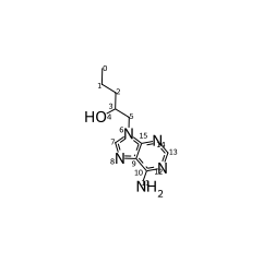 CCCC(O)Cn1cnc2c(N)ncnc21